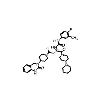 Cc1cc(NC(=O)N[C@@H](CC(=O)N2CCC(N3Cc4ccccc4NC3=O)CC2)C(=O)N2CCC(N3CCCCC3)CC2)ccc1F